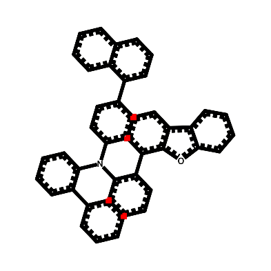 c1ccc(-c2ccccc2N(c2ccc(-c3cccc4ccccc34)cc2)c2ccccc2-c2cccc3c2oc2ccccc23)cc1